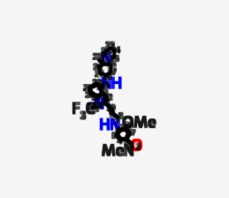 CNC(=O)c1ccc(NCC#Cc2cc3c(NC4CCC(C)(N5CCCC5)CC4)cccc3n2CC(F)(F)F)c(OC)c1